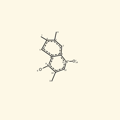 Cc1cc2c(cc1C)[n+]([O-])c(C)c[n+]2[O-]